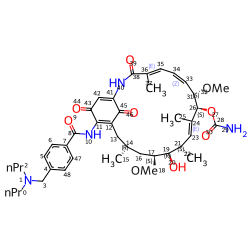 CCCN(CCC)Cc1ccc(C(=O)NC2=C3C[C@@H](C)C[C@H](OC)[C@H](O)[C@@H](C)/C=C(\C)[C@H](OC(N)=O)[C@@H](OC)/C=C\C=C(/C)C(=O)NC(=CC2=O)C3=O)cc1